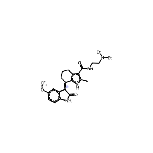 CCN(CC)CCNC(=O)c1c(C)[nH]c2c1CCC/C2=C1/C(=O)Nc2ccc(OC(F)(F)F)cc21